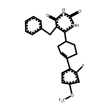 O=c1[nH]c(C2CC=C(c3ccc(OC(F)(F)F)cc3F)CC2)c(Cc2ccccc2)c(=O)[nH]1